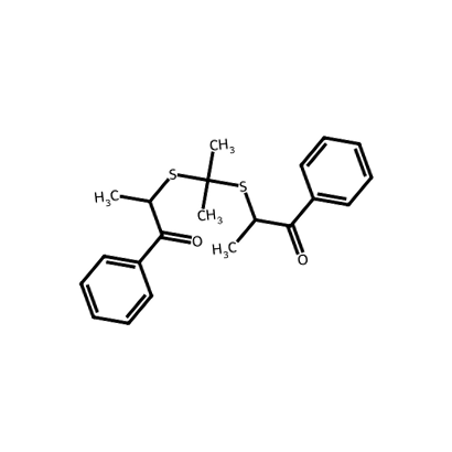 CC(SC(C)(C)SC(C)C(=O)c1ccccc1)C(=O)c1ccccc1